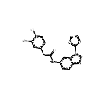 O=C(Cc1ccc(Cl)c(Cl)c1)Nc1ccc2ncn(-c3nccs3)c2c1